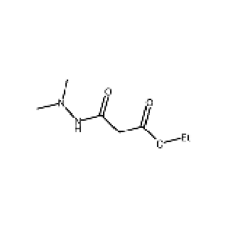 CCOC(=O)CC(=O)NN(C)C